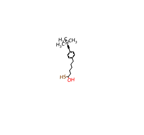 C[Si](C)(C)C#Cc1ccc(CCCCCC(O)S)cc1